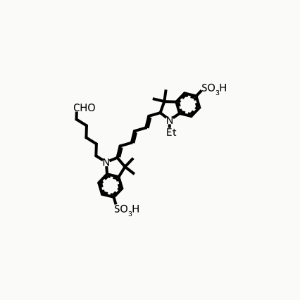 CCN1c2ccc(S(=O)(=O)O)cc2C(C)(C)C1/C=C/C=C/C=C1/N(CCCCCC=O)c2ccc(S(=O)(=O)O)cc2C1(C)C